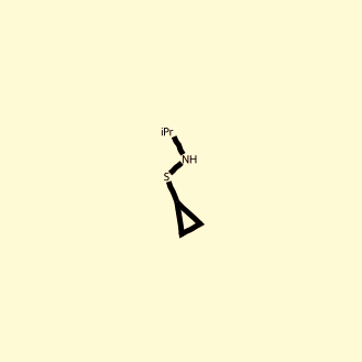 CC(C)NSC1CC1